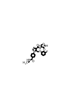 CCNC(=O)c1ccc(-n2nnc(C(=O)NC3CONC3=O)c2COc2cccc(F)c2)cc1